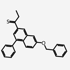 CCC(=S)c1cc(-c2ccccc2)c2ccc(OCc3ccccc3)cc2c1